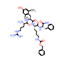 Cc1cc(O)cc(C)c1C[C@H](NC(=O)[C@H](N)CCCNC(=N)N)C(=O)N[C@@H](CCCCNC(=O)OCc1ccccc1)C(=O)N[C@@H](Cc1ccccc1)C(N)=O